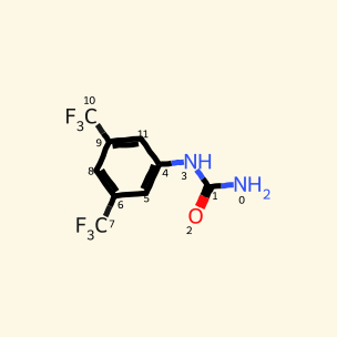 NC(=O)Nc1cc(C(F)(F)F)cc(C(F)(F)F)c1